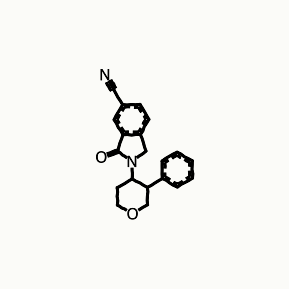 N#Cc1ccc2c(c1)C(=O)N(C1CCOCC1c1ccccc1)C2